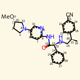 CO[C@H]1CCN(c2ccc(NC(=O)[C@@H](NC[C@H](C)c3ccc(C#N)cc3)c3ccccc3)nc2)C1